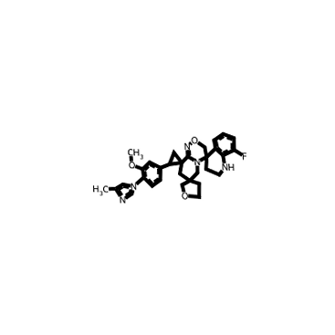 COc1cc(C2CC23CC2(CCOC2)CN2C3=NOCC23CCNc2c(F)cccc23)ccc1-n1cnc(C)c1